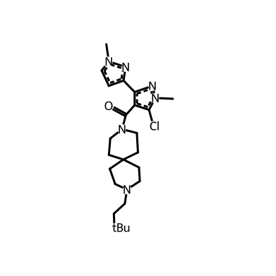 Cn1ccc(-c2nn(C)c(Cl)c2C(=O)N2CCC3(CCN(CCC(C)(C)C)CC3)CC2)n1